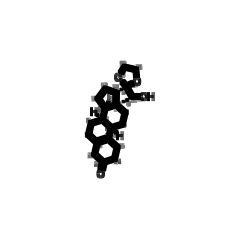 C[C@]12CC[C@@H]3C4=C(CC[C@H]3[C@@H]1CC[C@@H]2C1(CO)OCCO1)CC(=O)CC4